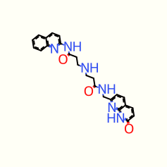 O=C(CCNCCC(=O)Nc1ccc2ccccc2n1)NCc1ccc2ccc(=O)[nH]c2n1